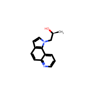 C[C@H](O)Cn1ccc2ccc3ncccc3c21